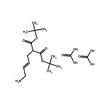 CC(C)(C)OC(=O)N(CC=CCN)C(=O)OC(C)(C)C.O=C(O)O.O=C(O)O